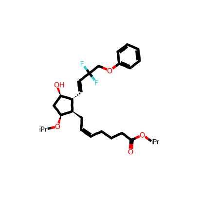 CC(C)OC(=O)CCC/C=C\C[C@@H]1[C@@H](/C=C/C(F)(F)COc2ccccc2)[C@H](O)C[C@@H]1OC(C)C